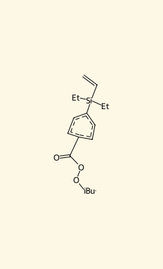 C=C[Si](CC)(CC)c1ccc(C(=O)OO[C](C)CC)cc1